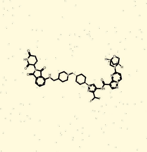 O=C1CCC(N2C(=O)c3cccc(NCC4CCN(C[C@H]5CC[C@H](n6cc(NC(=O)c7cnn8ccc(N9C[C@H]%10C[C@@H]9CO%10)nc78)c(C(F)F)n6)CC5)CC4)c3C2=O)C(=O)N1